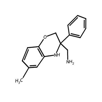 Cc1ccc2c(c1)NC(CN)(c1ccccc1)CO2